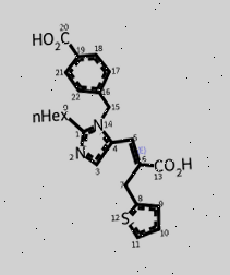 CCCCCCc1ncc(/C=C(\Cc2cccs2)C(=O)O)n1Cc1ccc(C(=O)O)cc1